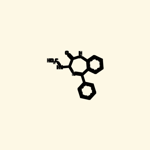 O=C(O)NC1N=C(c2ccccc2)c2ccccc2NC1=O